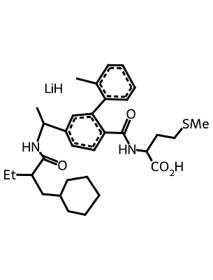 CCC(CC1CCCCC1)C(=O)NC(C)c1ccc(C(=O)NC(CCSC)C(=O)O)c(-c2ccccc2C)c1.[LiH]